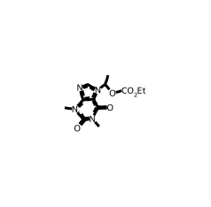 CCOC(=O)OC(C)n1cnc2c1c(=O)n(C)c(=O)n2C